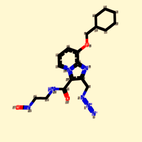 [N-]=[N+]=NCc1nc2c(OCC3CCCCC3)cccn2c1C(=O)NCCN=O